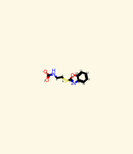 [O]C(=O)NCCSc1nc2ccccc2o1